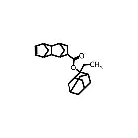 CCC1(OC(=O)C2CC3CC2C2C4C=CC(C4)C32)C2CC3CC(C2)CC1C3